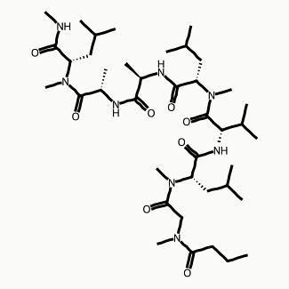 CCCC(=O)N(C)CC(=O)N(C)[C@@H](CC(C)C)C(=O)N[C@H](C(=O)N(C)[C@@H](CC(C)C)C(=O)N[C@H](C)C(=O)N[C@@H](C)C(=O)N(C)[C@@H](CC(C)C)C(=O)NC)C(C)C